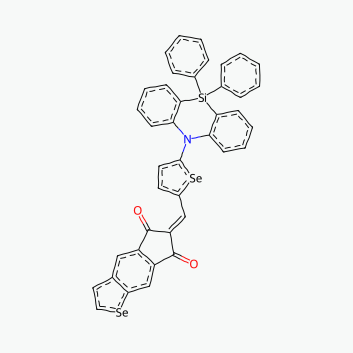 O=C1/C(=C\c2ccc(N3c4ccccc4[Si](c4ccccc4)(c4ccccc4)c4ccccc43)[se]2)C(=O)c2cc3[se]ccc3cc21